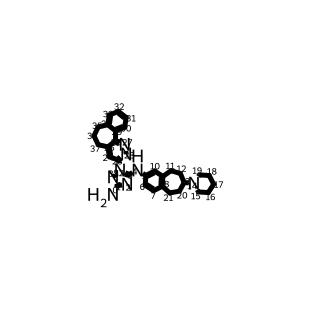 Nc1nc(Nc2ccc3c(c2)CCC(N2CCCCC2)CC3)n(-c2cc3c(nn2)-c2ccccc2CCC3)n1